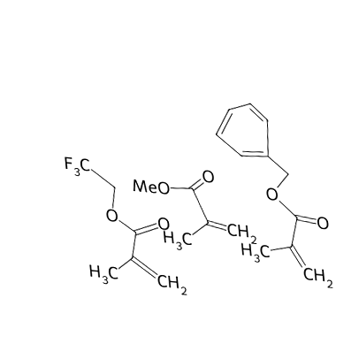 C=C(C)C(=O)OC.C=C(C)C(=O)OCC(F)(F)F.C=C(C)C(=O)OCc1ccccc1